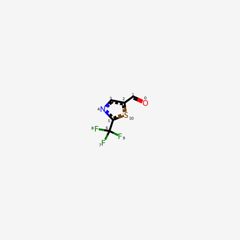 O=Cc1cnc(C(F)(F)F)s1